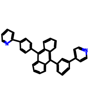 c1ccc(-c2ccc(-c3c4ccccc4c(-c4cccc(-c5ccncc5)c4)c4ccccc34)cc2)nc1